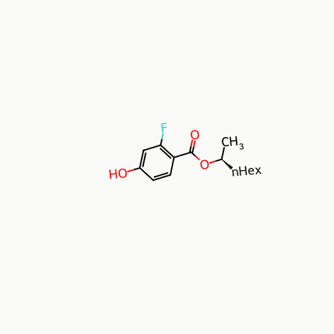 CCCCCC[C@H](C)OC(=O)c1ccc(O)cc1F